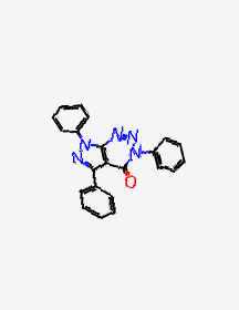 O=c1c2c(-c3ccccc3)nn(-c3ccccc3)c2nnn1-c1ccccc1